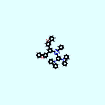 c1ccc(-c2nc(-c3cc(-c4ccc5oc6ccccc6c5c4)cc(-c4ccc5oc6ccccc6c5c4)c3)nc(-c3cc(-n4c5ccccc5c5ccccc54)cc(-n4c5ccccc5c5ccccc54)c3)n2)cc1